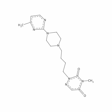 Cc1ccnc(N2CCN(CCCCn3ncc(=O)n(C)c3=O)CC2)n1